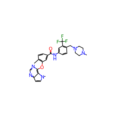 Cc1ccc(C(=O)Nc2ccc(CN3CCN(C)CC3)c(C(F)(F)F)c2)cc1Oc1ncnc2ccn(C)c12